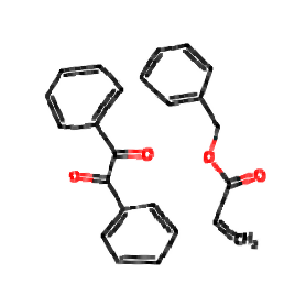 C=CC(=O)OCc1ccccc1.O=C(C(=O)c1ccccc1)c1ccccc1